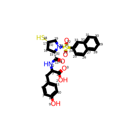 O=C(O)C(Cc1ccc(O)cc1)NC(=O)[C@@H]1C[C@H](S)CN1S(=O)(=O)c1ccc2ccccc2c1